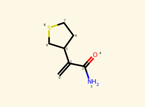 C=C(C(N)=O)C1CCSC1